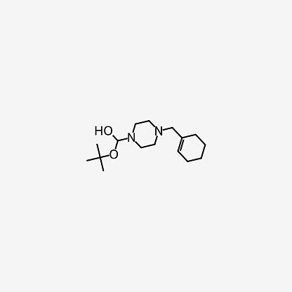 CC(C)(C)OC(O)N1CCN(CC2=CCCCC2)CC1